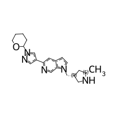 C[C@H]1C[C@@H](Cn2ccc3cc(-c4cnn(C5CCCCO5)c4)ncc32)CN1